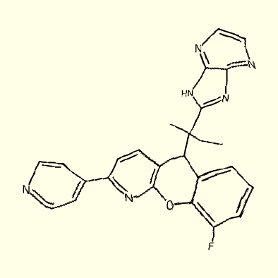 CC(C)(c1nc2nccnc2[nH]1)C1c2ccc(-c3ccncc3)nc2Oc2c(F)cccc21